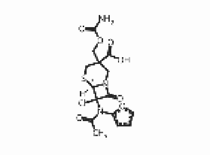 CC(=O)N(c1ccco1)C1(Cl)C(=O)N2CC(COC(N)=O)(C(=O)O)CS[C@@H]21